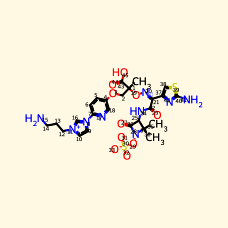 CC(COc1ccc(-n2cc[n+](CCCN)c2)nc1)(O/N=C(\C(=O)NC1C(=O)N(OS(=O)(=O)[O-])C1(C)C)c1csc(N)n1)C(=O)O